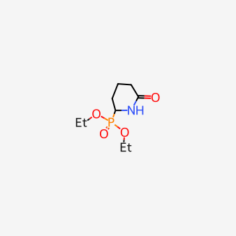 CCOP(=O)(OCC)C1CCCC(=O)N1